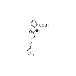 CC=CCCCCC(=O)Nc1ccccc1C(=O)O